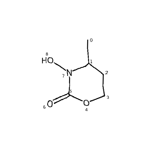 CC1CCOC(=O)N1O